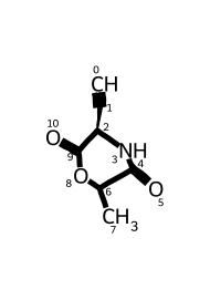 C#C[C@H]1NC(=O)C(C)OC1=O